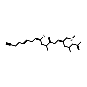 C#CCCC=CC/C=C(/N)CC(C)C(=C)C/C=C(/CSC)CC(C)CC(=C)C